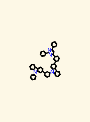 C1=CC(c2ccc3c4ccccc4n(-c4ccccc4)c3c2)CC(n2c3ccccc3c3cc(-c4cccc(-c5cc(-c6ccccc6)nc(-c6ccccc6)n5)c4)ccc32)=C1